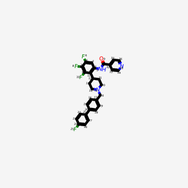 O=C(Nc1cc(F)c(F)c(F)c1C1CCN(Cc2ccc(-c3ccc(F)cc3)cc2)CC1)c1ccncc1